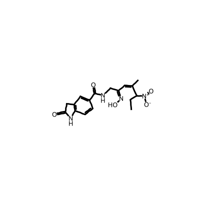 CCC(C(C)=CC(CNC(=O)c1ccc2c(c1)CC(=O)N2)=NO)[N+](=O)[O-]